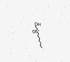 CCCCCCC[S+]([O-])CCO